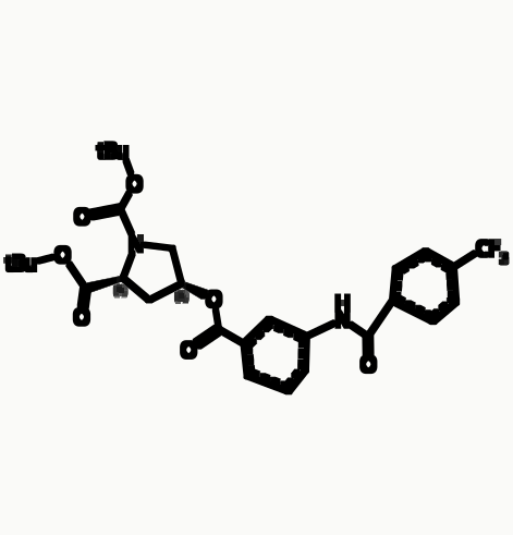 CC(C)(C)OC(=O)[C@@H]1C[C@H](OC(=O)c2cccc(NC(=O)c3ccc(C(F)(F)F)cc3)c2)CN1C(=O)OC(C)(C)C